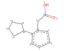 O=C(O)Cc1ccc[c]c1C1CCCC1